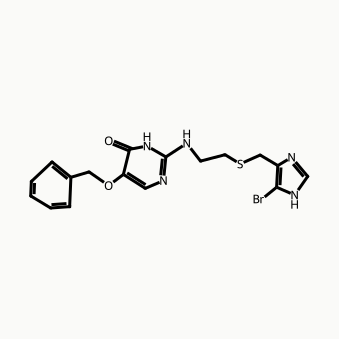 O=c1[nH]c(NCCSCc2nc[nH]c2Br)ncc1OCc1ccccc1